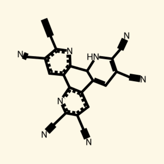 C#Cc1nc2c(cc1C#N)-c1nc(C#N)c(C#N)cc1C1=CC(C#N)=C(C#N)NC12